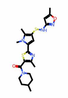 Cc1cc(NSc2cc(-c3nc(C)c(C(=O)N4CCC(C)CC4)s3)n(C)c2C)no1